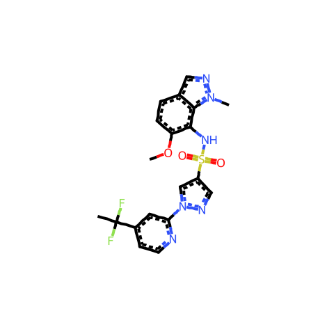 COc1ccc2cnn(C)c2c1NS(=O)(=O)c1cnn(-c2cc(C(C)(F)F)ccn2)c1